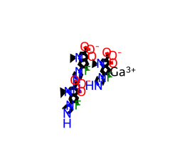 O=C([O-])c1cn(C2CC2)c2cc(N3CCNCC3)c(F)cc2c1=O.O=C([O-])c1cn(C2CC2)c2cc(N3CCNCC3)c(F)cc2c1=O.O=C([O-])c1cn(C2CC2)c2cc(N3CCNCC3)c(F)cc2c1=O.[Ga+3]